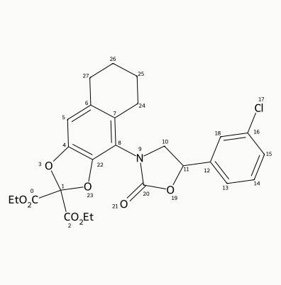 CCOC(=O)C1(C(=O)OCC)Oc2cc3c(c(N4CC(c5cccc(Cl)c5)OC4=O)c2O1)CCCC3